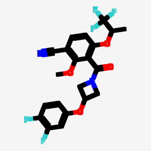 COc1c(C#N)ccc(OC(C)C(F)(F)F)c1C(=O)N1CC(Oc2ccc(F)c(F)c2)C1